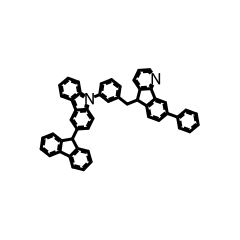 c1ccc(-c2ccc3c(c2)-c2ncccc2C3Cc2cccc(-n3c4ccccc4c4cc(C5c6ccccc6-c6ccccc65)ccc43)c2)cc1